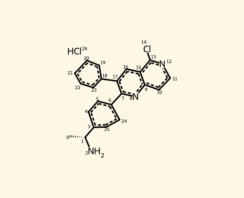 C[C@@H](N)c1ccc(-c2nc3ccnc(Cl)c3cc2-c2ccccc2)cc1.Cl